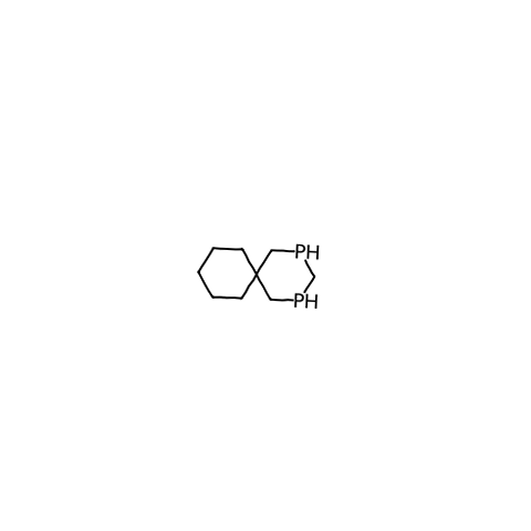 C1CCC2(CC1)CPCPC2